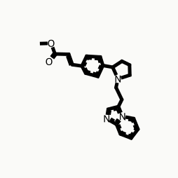 COC(=O)/C=C/c1ccc(C2CCCN2CCc2cnc3ccccn23)cc1